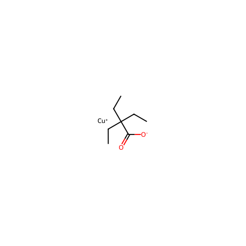 CCC(CC)(CC)C(=O)[O-].[Cu+]